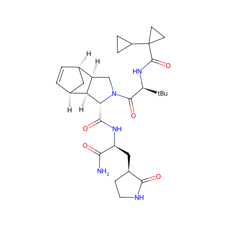 CC(C)(C)[C@H](NC(=O)C1(C2CC2)CC1)C(=O)N1C[C@H]2[C@@H]([C@H]1C(=O)N[C@@H](C[C@@H]1CCNC1=O)C(N)=O)[C@H]1C=C[C@@H]2C1